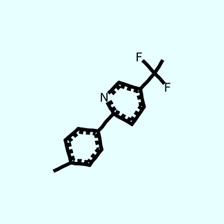 Cc1ccc(-c2ccc(C(C)(F)F)cn2)cc1